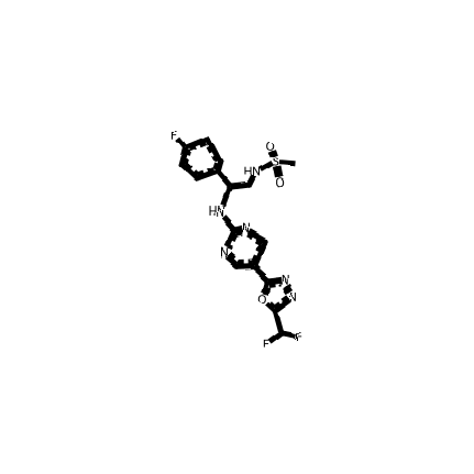 CS(=O)(=O)NCC(Nc1ncc(-c2nnc(C(F)F)o2)cn1)c1ccc(F)cc1